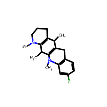 CC1C2=C(C(C)C3=C1CCCN3C(C)C)N(C)c1cc(F)ccc1C2